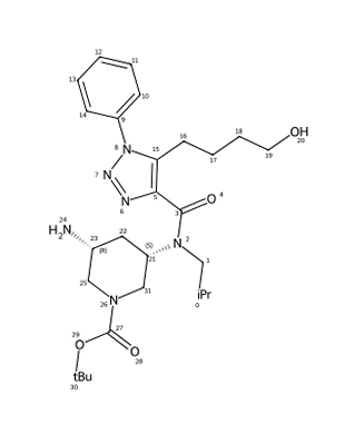 CC(C)CN(C(=O)c1nnn(-c2ccccc2)c1CCCCO)[C@H]1C[C@@H](N)CN(C(=O)OC(C)(C)C)C1